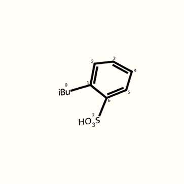 CCC(C)c1ccccc1S(=O)(=O)O